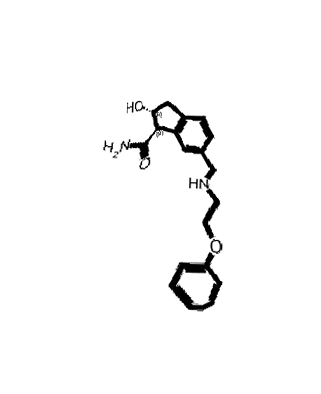 NC(=O)[C@@H]1c2cc(CNCCOc3ccccc3)ccc2C[C@H]1O